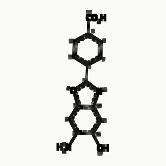 Nc1cc2oc(-c3ccc(C(=O)O)cc3)nc2cc1O